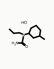 CCCN(C(N)=O)C1CCCC(C)C1.Cl